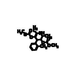 COC(=O)OC1=C(C)NC(C)C(OC(=O)OC)C1c1ccccc1C